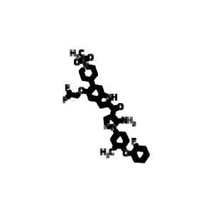 Cc1cc(-n2ncc(C(=O)c3cc4cc(OCC(F)F)c(C5CCN(S(C)(=O)=O)CC5)cc4[nH]3)c2N)ccc1Oc1ccccc1F